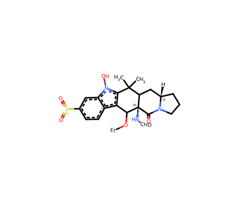 CCOC1c2c(n(O)c3cc([SH](=O)=O)ccc23)C(C)(C)C2C[C@@H]3CCCN3C(=O)[C@]12NC=O